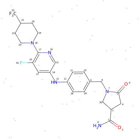 NC(=O)C1CC(=O)N(Cc2ccc(Nc3cnc(N4CCC(C(F)(F)F)CC4)c(F)c3)cc2)C1